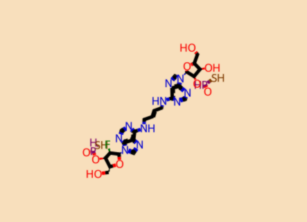 O=[PH](S)O[C@@H]1[C@H](O)C(CO)O[C@H]1n1cnc2c(NC/C=C/CNc3ncnc4c3ncn4[C@@H]3O[C@H](CO)[C@@H](O[PH](=O)S)[C@H]3F)ncnc21